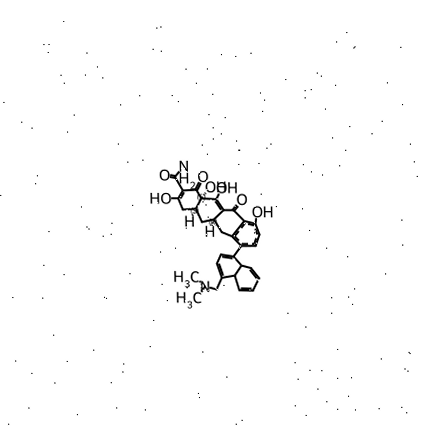 CN(C)CC1=CC=C(c2ccc(O)c3c2C[C@H]2C[C@H]4CC(O)=C(C(N)=O)C(=O)[C@@]4(O)C(O)=C2C3=O)C2C=CC=CC12